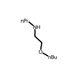 CCCCOCCNCCC